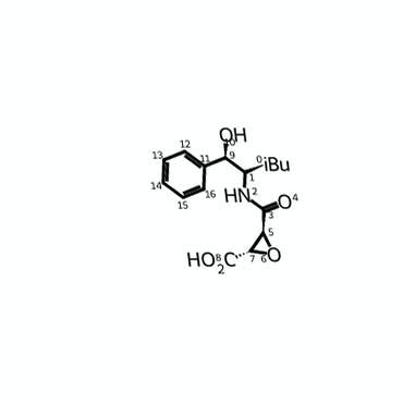 CC[C@H](C)C(NC(=O)[C@H]1O[C@@H]1C(=O)O)[C@H](O)c1ccccc1